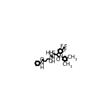 C/C(NNC(=O)CCC(=O)Nc1ccccc1)=C1/C(=O)N(c2cc(C)cc(C)c2)c2cc(C(F)(F)F)ccc21